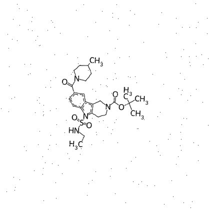 CCNS(=O)(=O)n1c2c(c3cc(C(=O)N4CCC(C)CC4)ccc31)CN(C(=O)OC(C)(C)C)CC2